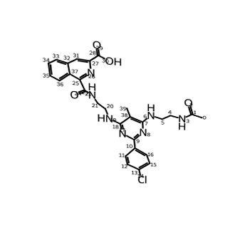 CC(=O)NCCNc1nc(-c2ccc(Cl)cc2)nc(NCCNC(=O)c2nc(C(=O)O)cc3ccccc23)c1C